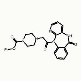 CC(C)OC(=O)N1CCN(CC(=O)N2c3ccccc3C(=O)Nc3cccnc32)CC1